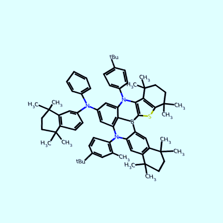 Cc1cc(C(C)(C)C)ccc1N1c2cc3c(cc2B2c4sc5c(c4N(c4ccc(C(C)(C)C)cc4)c4cc(N(c6ccccc6)c6ccc7c(c6)C(C)(C)CCC7(C)C)cc1c42)C(C)(C)CCC5(C)C)C(C)(C)CCC3(C)C